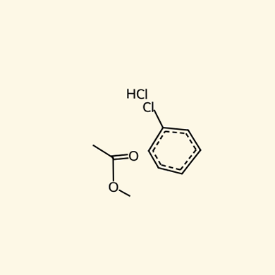 COC(C)=O.Cl.Clc1ccccc1